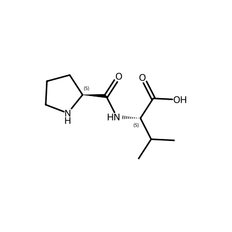 CC(C)[C@H](NC(=O)[C@@H]1CCCN1)C(=O)O